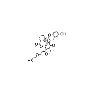 COC(=O)C1CCCN(C(=O)C(Cc2cccc(O)c2)NC(=O)C(NC(=O)CCOCCS)C(C)C)N1